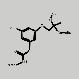 CCCCCNC(=O)Oc1cc(CCCC)cc(OCC(C)(OCCCC)OCCCC)c1